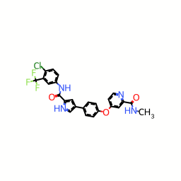 CNC(=O)c1cc(Oc2ccc(-c3c[nH]c(C(=O)Nc4ccc(Cl)c(C(F)(F)F)c4)c3)cc2)ccn1